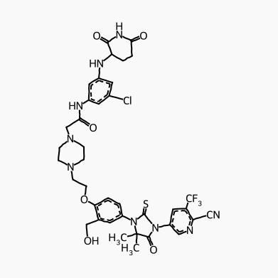 CC1(C)C(=O)N(c2cnc(C#N)c(C(F)(F)F)c2)C(=S)N1c1ccc(OCCN2CCN(CC(=O)Nc3cc(Cl)cc(NC4CCC(=O)NC4=O)c3)CC2)c(CO)c1